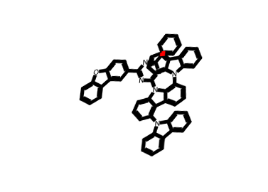 c1ccc(-c2nc(-c3ccc4oc5ccccc5c4c3)nc(-n3c4cccc(-n5c6ccccc6c6ccccc65)c4c4cccc(-n5c6ccccc6c6ccccc65)c43)n2)cc1